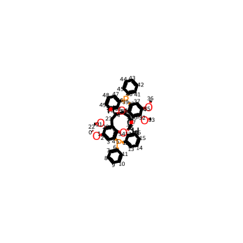 COc1cc(P(c2ccccc2)c2ccccc2)c2c(c1OC)C[C@H]1CCC[C@H](Cc3c(OC)c(OC)cc(P(c4ccccc4)c4ccccc4)c3O1)O2